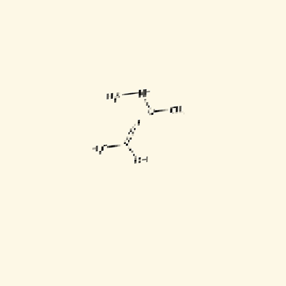 CC(=O)O.CNOC